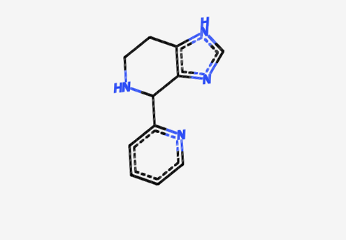 c1ccc(C2NCCc3[nH]cnc32)nc1